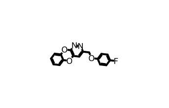 Fc1ccc(OCc2cc3c(nn2)Oc2ccccc2O3)cc1